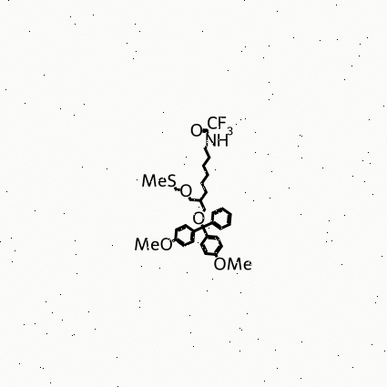 COc1ccc(C(OCC(CCCCCCNC(=O)C(F)(F)F)COCSC)(c2ccccc2)c2ccc(OC)cc2)cc1